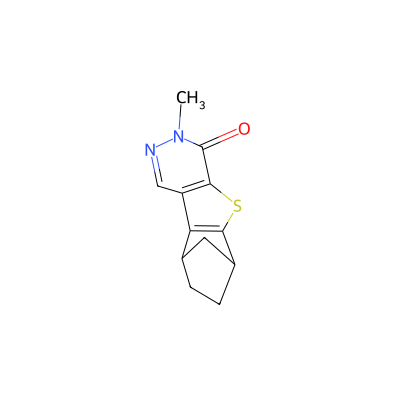 Cn1ncc2c3c(sc2c1=O)C1CCC3C1